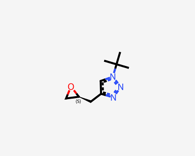 CC(C)(C)n1cc(C[C@H]2CO2)nn1